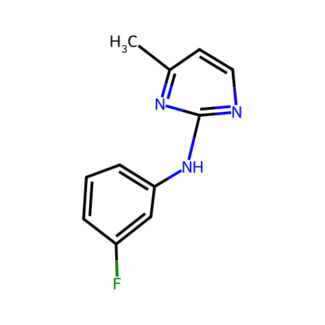 Cc1ccnc(Nc2cccc(F)c2)n1